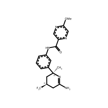 COc1cnc(C(=O)Nc2cccc([C@]3(C)C[C@H](C(F)(F)F)CC(N)=N3)c2)cn1